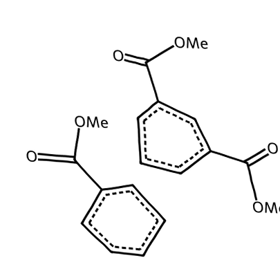 COC(=O)c1cccc(C(=O)OC)c1.COC(=O)c1ccccc1